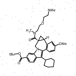 CNCCOCCN(C)C(=O)[C@@]12C[C@@H]1c1cc(OC)ccc1-c1c(C3CCCCC3)c3ccc(C(=O)OC(C)(C)C)cc3n1C2